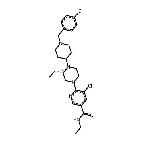 CCNC(=O)c1cnc(N2CCN(C3CCN(Cc4ccc(Cl)cc4)CC3)[C@@H](CC)C2)c(Cl)c1